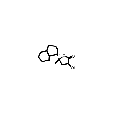 CC1([C@H]2CCCC3CCCCC32)CC(O)C(=O)O1